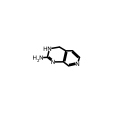 NC1=Nc2cnccc2CN1